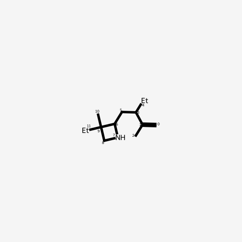 C=C(C)C(CC)CC1NCC1(C)CC